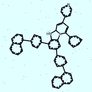 C1=C(c2ccncc2)C=C(c2ccccc2)N2c3cc(-c4ccc(-c5cccc6ccccc56)cc4)cc(-c4ccc(-c5cccc6ccccc56)cc4)c3NC12